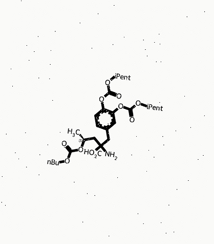 CCCCOC(=O)O[C@@H](C)CC(N)(Cc1ccc(OC(=O)OC(C)CCC)c(OC(=O)OC(C)CCC)c1)C(=O)O